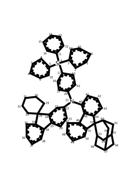 c1ccc([Si](c2ccccc2)(c2ccccc2)c2ccc(N(c3ccc4c(c3)C3(CCCCC3)c3ccccc3-4)c3cccc4c3-c3ccccc3C43C4CC5CC(C4)CC3C5)cc2)cc1